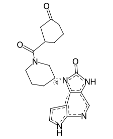 O=C1CCCC(C(=O)N2CCC[C@@H](n3c(=O)[nH]c4cnc5[nH]ccc5c43)C2)C1